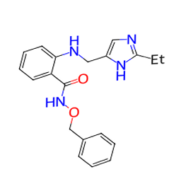 CCc1ncc(CNc2ccccc2C(=O)NOCc2ccccc2)[nH]1